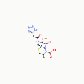 C=C1CS[C@H]2N(C(=O)C2(NC(=O)Cc2nnn[nH]2)OC)C1C(=O)O